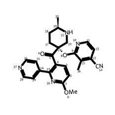 COc1ccc(C(=O)[C@@]2(Oc3nccc(C#N)c3C)CC[C@@H](C)NC2)c(-c2ccncc2)n1